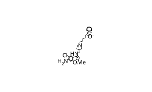 COc1cc(N)c(Cl)cc1C(=O)NCC1CCN(CCCCC[S+]([O-])c2ccccc2)CC1